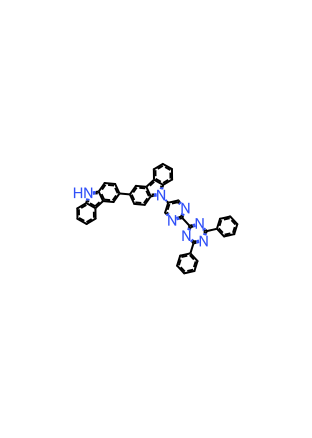 c1ccc(-c2nc(-c3ccccc3)nc(-c3ncc(-n4c5ccccc5c5cc(-c6ccc7[nH]c8ccccc8c7c6)ccc54)cn3)n2)cc1